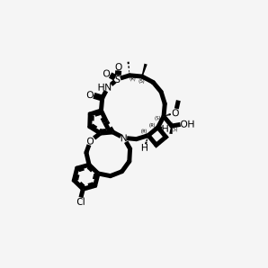 CO[C@@]1([C@H](C)O)CCC[C@H](C)[C@@H](C)S(=O)(=O)NC(=O)c2ccc3c(c2)N(CCCCc2cc(Cl)ccc2CO3)C[C@@H]2CC[C@H]21